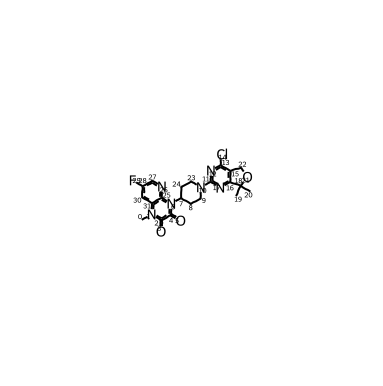 Cn1c(=O)c(=O)n(C2CCN(c3nc(Cl)c4c(n3)C(C)(C)OC4)CC2)c2ncc(F)cc21